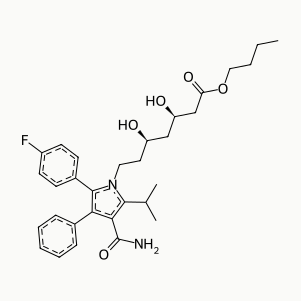 CCCCOC(=O)C[C@H](O)C[C@H](O)CCn1c(-c2ccc(F)cc2)c(-c2ccccc2)c(C(N)=O)c1C(C)C